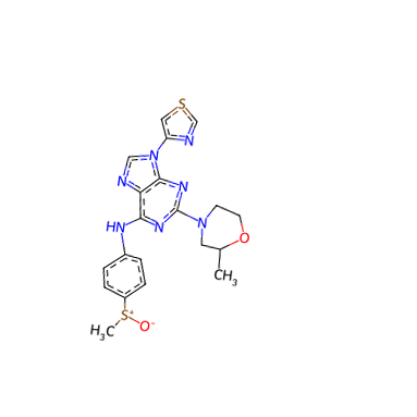 CC1CN(c2nc(Nc3ccc([S+](C)[O-])cc3)c3ncn(-c4cscn4)c3n2)CCO1